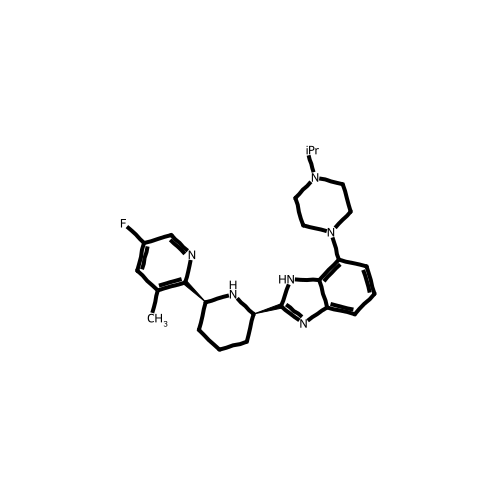 Cc1cc(F)cnc1[C@@H]1CCC[C@H](c2nc3cccc(N4CCN(C(C)C)CC4)c3[nH]2)N1